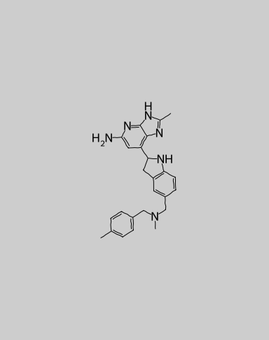 Cc1ccc(CN(C)Cc2ccc3c(c2)CC(c2cc(N)nc4[nH]c(C)nc24)N3)cc1